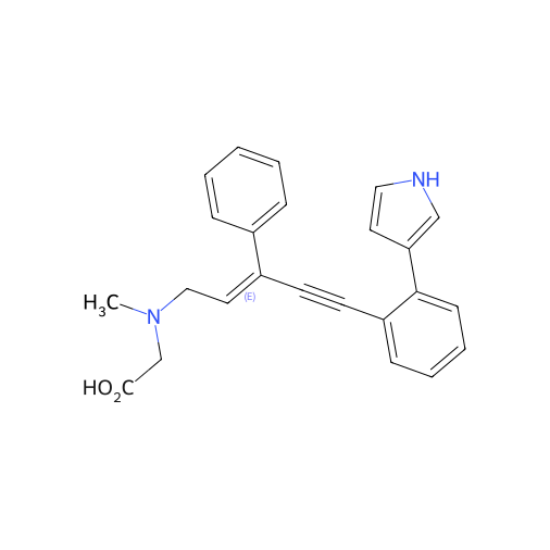 CN(C/C=C(/C#Cc1ccccc1-c1cc[nH]c1)c1ccccc1)CC(=O)O